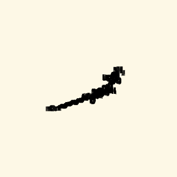 CCCCCCCC/C=C/CCCCCCCCNC(=O)[C@@H](N)Cc1ccc(OP(=O)(O)CO[C@H](CO)Cn2ccc(N)nc2=O)cc1